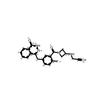 C#CCNC1CN(C(=O)c2cc(Cc3n[nH]c(=O)c4ccccc34)ccc2F)C1